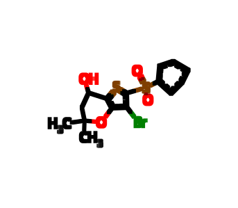 CC1(C)CC(O)c2sc(S(=O)(=O)c3ccccc3)c(Br)c2O1